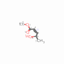 CCOC(=O)/C=C\C(C)O